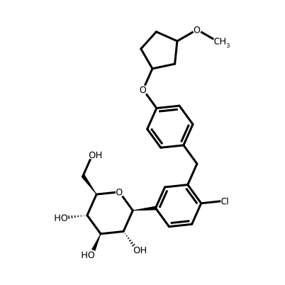 COC1CCC(Oc2ccc(Cc3cc([C@@H]4O[C@H](CO)[C@@H](O)[C@H](O)[C@H]4O)ccc3Cl)cc2)C1